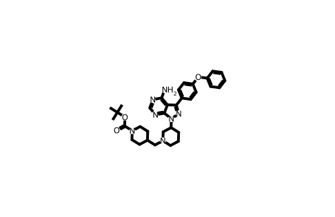 CC(C)(C)OC(=O)N1CCC(CN2CCCC(n3nc(-c4ccc(Oc5ccccc5)cc4)c4c(N)ncnc43)C2)CC1